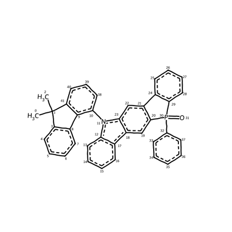 CC1(C)c2ccccc2-c2c(-n3c4ccccc4c4cc5c(cc43)-c3ccccc3P5(=O)c3ccccc3)cccc21